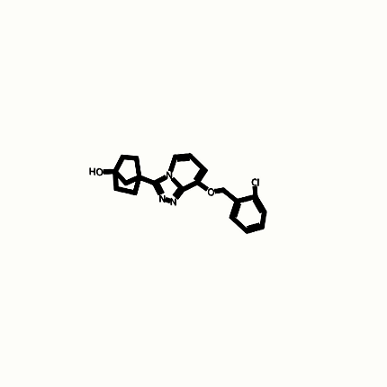 OC12CCC(c3nnc4c(OCc5ccccc5Cl)cccn34)(CC1)C2